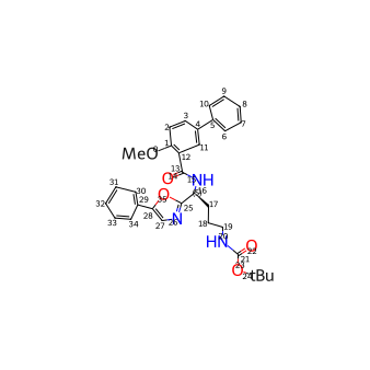 COc1ccc(-c2ccccc2)cc1C(=O)N[C@@H](CCCNC(=O)OC(C)(C)C)c1ncc(-c2ccccc2)o1